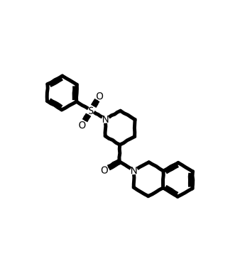 O=C(C1CCCN(S(=O)(=O)c2ccccc2)C1)N1CCc2ccccc2C1